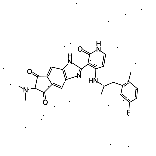 Cc1ccc(F)cc1CC(C)Nc1cc[nH]c(=O)c1-c1nc2cc3c(cc2[nH]1)C(=O)C(N(C)C)C3=O